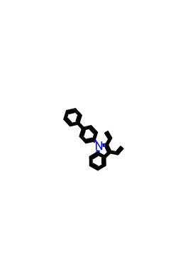 C=Cc1c(C=C)n(-c2ccc(-c3ccccc3)cc2)c2ccccc12